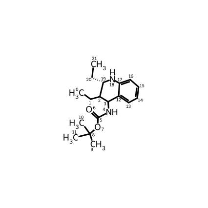 CCC1C(NC(=O)OC(C)(C)C)c2ccccc2N[C@H]1CC